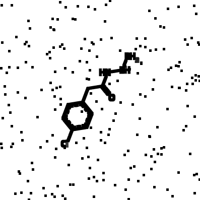 BBNC(=O)Cc1ccc(Cl)cc1